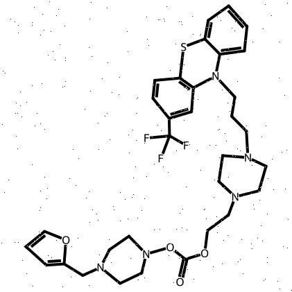 O=C(OCCN1CCN(CCCN2c3ccccc3Sc3ccc(C(F)(F)F)cc32)CC1)ON1CCN(Cc2ccco2)CC1